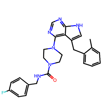 Cc1ccccc1Cc1c[nH]c2ncnc(N3CCN(C(=O)NCc4ccc(F)cc4)CC3)c12